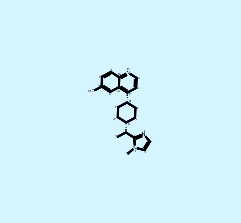 CC(c1nccn1C)[C@H]1CC[C@@H](c2ccnc3ccc(F)cc32)CC1